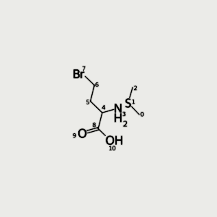 CSC.NC(CCBr)C(=O)O